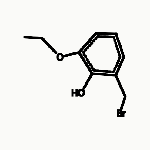 CCOc1cccc(CBr)c1O